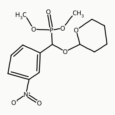 COP(=O)(OC)C(OC1CCCCO1)c1cccc([N+](=O)[O-])c1